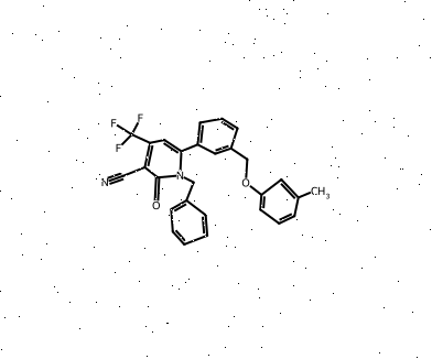 Cc1cccc(OCc2cccc(-c3cc(C(F)(F)F)c(C#N)c(=O)n3Cc3ccccc3)c2)c1